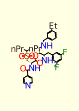 CCCC(CCC)S(=O)(=O)C[C@@H](NC(=O)c1ccncc1)C(=O)O[C@H](CNCc1cccc(CC)c1)[C@@H](N)Cc1cc(F)cc(F)c1